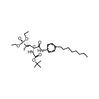 CCCCCCCCc1ccc(NC(=O)[C@@H](/C=C(\F)P(=O)(OCC)OCC)NC(=O)OC(C)(C)C)cc1